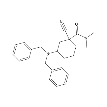 CN(C)C(=O)C1(C#N)CCCC(N(Cc2ccccc2)Cc2ccccc2)C1